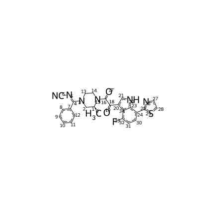 C[C@H]1CN(/C(=N/C#N)c2ccccc2)CCN1C(=O)C(=O)c1c[nH]c2c(-c3nccs3)ccc(F)c12